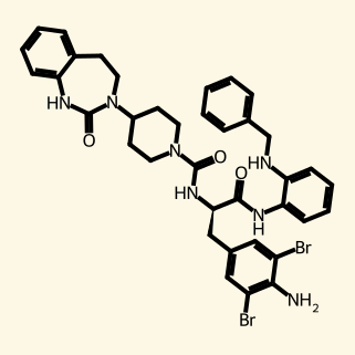 Nc1c(Br)cc(C[C@@H](NC(=O)N2CCC(N3CCc4ccccc4NC3=O)CC2)C(=O)Nc2ccccc2NCc2ccccc2)cc1Br